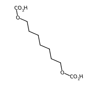 O=C(O)OCCCCCCCOC(=O)O